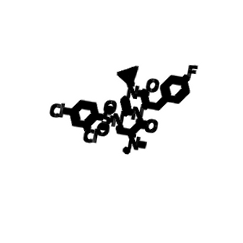 CN(C)C1CN(S(=O)(=O)c2ccc(Cl)cc2Cl)C2=CN(C3CC3)C(=O)C(Cc3ccc(F)cc3)N2C1=O